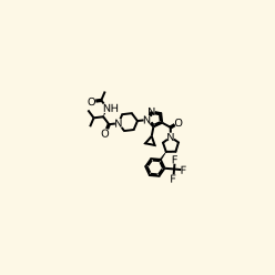 CC(=O)N[C@H](C(=O)N1CCC(n2ncc(C(=O)N3CC[C@@H](c4ccccc4C(F)(F)F)C3)c2C2CC2)CC1)C(C)C